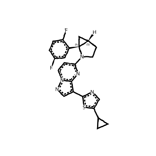 Fc1ccc(F)c([C@@]23C[C@@H]2CCN3c2ccn3ncc(-c4ncc(C5CC5)s4)c3n2)c1